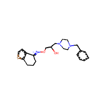 OC(CO/N=C1\CCCc2sccc21)CN1CCN(Cc2ccccc2)CC1